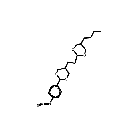 CCCCC1COC(CCC2COC(c3ccc(N=C=S)cc3)OC2)OC1